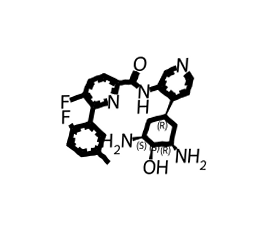 Cc1ccc(F)c(-c2nc(C(=O)Nc3cnccc3[C@H]3C[C@@H](N)[C@@H](O)[C@@H](N)C3)ccc2F)c1